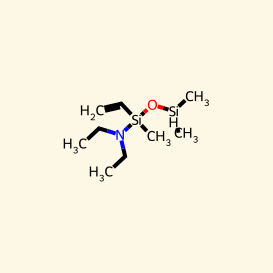 C=C[Si](C)(O[SiH](C)C)N(CC)CC